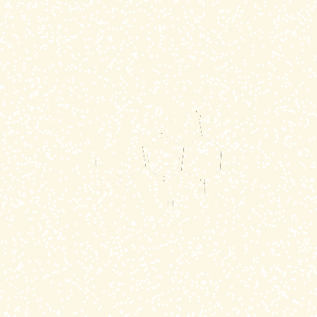 Cl.NC1CCNc2cc(P(=O)(O)O)ccc21